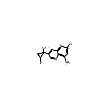 N#CC1CC1(C(=O)O)c1cnc2c(N)cc(Cl)nc2c1